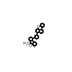 CC1(C)c2ccccc2-c2c(-c3cccc(-c4ccc5c6c(cccc46)-c4ccccc4O5)c3)cccc21